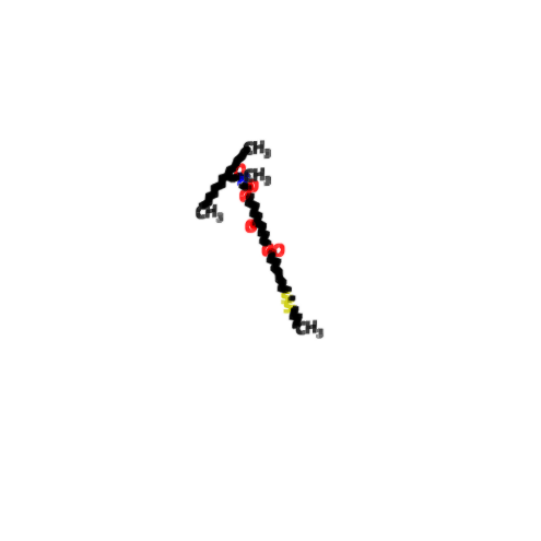 CCCCCCCCC(CCCCCC)CC(=O)N(C)CC(=O)OCCCCCC(=O)CCCCCOC(=O)CCCCCCCCSCSCCCCC